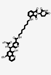 CCCC(=O)NC(c1cncc(C(=O)NCCCCCCCNc2cccc3c2C(=O)N(C2CCC(=O)NC2=O)C3=O)c1)c1cc(C(C)(C)C)c2cccnc2c1O